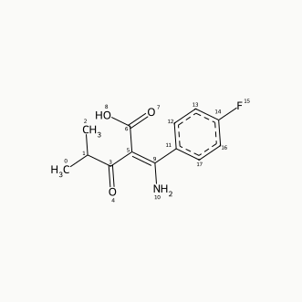 CC(C)C(=O)C(C(=O)O)=C(N)c1ccc(F)cc1